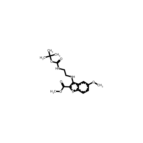 COC(=O)c1sc2ccc(OC)cc2c1NCCNC(=O)OC(C)(C)C